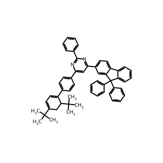 CC(C)(C)C1=CC=C(c2ccc(-c3cc(-c4ccc5c(c4)C(c4ccccc4)(c4ccccc4)c4ccccc4-5)nc(-c4ccccc4)n3)cc2)C(C(C)(C)C)C1